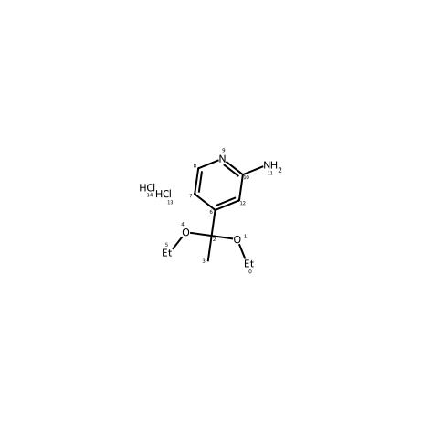 CCOC(C)(OCC)c1ccnc(N)c1.Cl.Cl